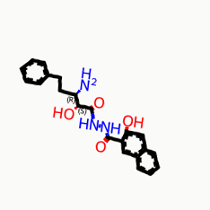 N[C@H](CCc1ccccc1)[C@H](O)C(=O)NNC(=O)c1cc2ccccc2cc1O